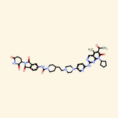 CC(=O)c1c(C)c2cnc(Nc3ccc(N4CCN(CCC5CCN(C(=O)Nc6ccc7c(c6)C(=O)N(C6CCC(=O)NC6=O)C7=O)CC5)CC4)cn3)nc2n(C2CCCC2)c1=O